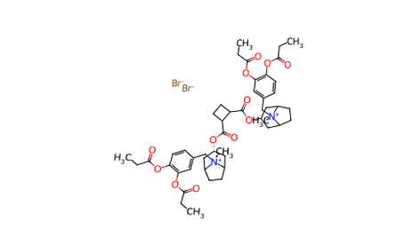 CCC(=O)Oc1ccc(C[N+]2(C)C3CCC2CC(OC(=O)C2CCC2C(=O)O[C@H]2CC4CCC(C2)[N@@+]4(C)Cc2ccc(OC(=O)CC)c(OC(=O)CC)c2)C3)cc1OC(=O)CC.[Br-].[Br-]